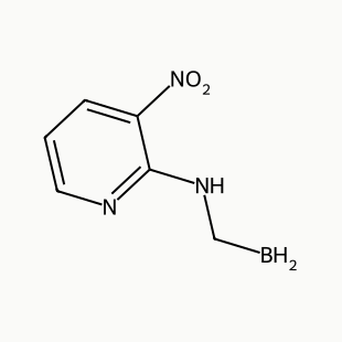 BCNc1ncccc1[N+](=O)[O-]